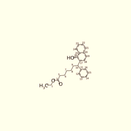 CCOC(=O)CCCCCC(c1ccccc1)c1ccc2ccccc2c1O